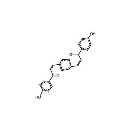 O=C(/C=C\c1ccc(/C=C\C(=O)c2ccc(O)cc2)cc1)c1ccc(O)cc1